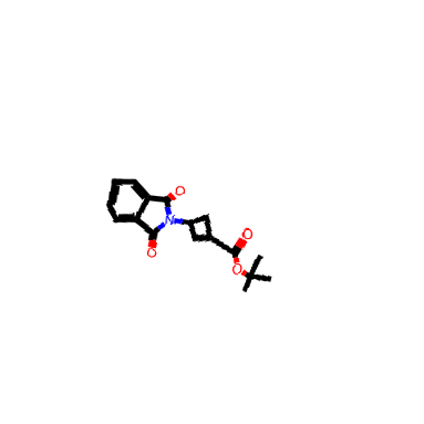 CC(C)(C)OC(=O)C1CC(N2C(=O)c3ccccc3C2=O)C1